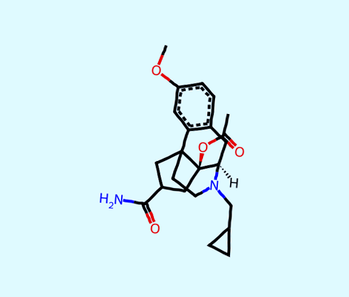 COc1ccc2c(c1)C13CCN(CC4CC4)[C@H](C2)[C@]1(OC(C)=O)CC(C(N)=O)C3